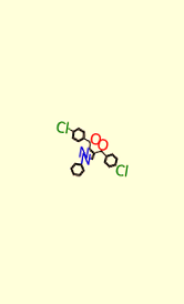 O=C(c1ccc(Cl)cc1)c1cn(-c2ccccc2)nc1C(=O)c1ccc(Cl)cc1